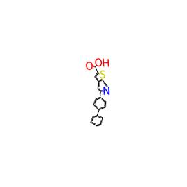 O=C(O)c1cc2cc(-c3ccc(-c4ccccc4)cc3)ncc2s1